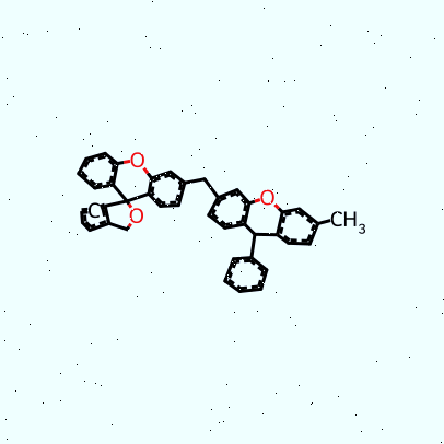 Cc1ccc2c(c1)Oc1cc(Cc3ccc4c(c3)Oc3ccccc3C43OCc4ccccc43)ccc1C2c1ccccc1